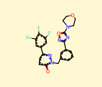 O=c1ccc(-c2cc(F)c(F)c(F)c2)nn1Cc1cccc(-c2noc(N3CCOCC3)n2)c1